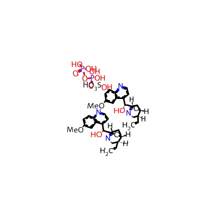 C=C[C@H]1C[N@]2CC[C@H]1C[C@H]2[C@H](O)c1ccnc2ccc(OC)cc12.C=C[C@H]1C[N@]2CC[C@H]1C[C@H]2[C@H](O)c1ccnc2ccc(OC)cc12.O=P(O)(O)OP(=O)(O)O.O=S(=O)(O)O